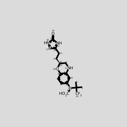 CC(C)(N(C(=O)O)c1ccc2c(c1)NC[C@H](CCc1n[nH]c(=O)[nH]1)O2)C(F)(F)F